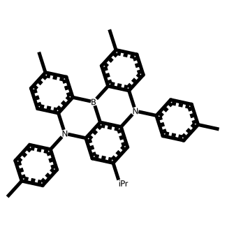 Cc1ccc(N2c3ccc(C)cc3B3c4cc(C)ccc4N(c4ccc(C)cc4)c4cc(C(C)C)cc2c43)cc1